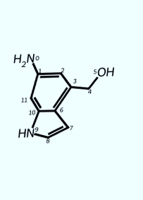 Nc1cc(CO)c2cc[nH]c2c1